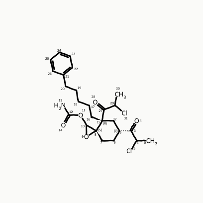 CC(Cl)C(=O)[C@@H]1CC[C@]2(OC2OC(N)=O)[C@](CCCCCc2ccccc2)(C(=O)C(C)Cl)C1